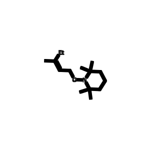 CC/C(C)=C\CON1C(C)(C)CCCC1(C)C